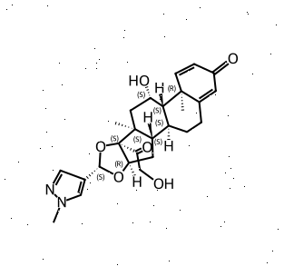 Cn1cc([C@H]2O[C@@H]3C[C@H]4[C@@H]5CCC6=CC(=O)C=C[C@]6(C)[C@H]5[C@@H](O)C[C@]4(C)[C@]3(C(=O)CO)O2)cn1